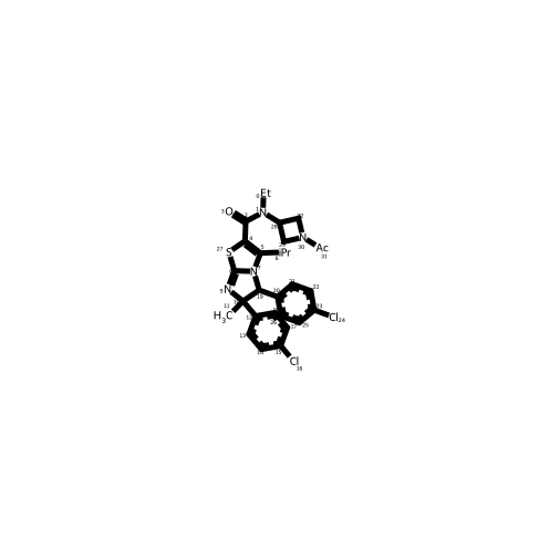 CCN(C(=O)C1=C(C(C)C)N2C(=NC(C)(c3ccc(Cl)cc3)C2c2ccc(Cl)cc2)S1)C1CN(C(C)=O)C1